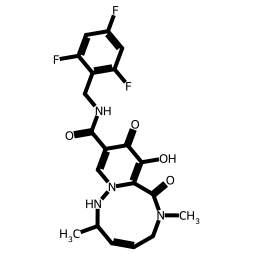 CC1/C=C\CN(C)C(=O)c2c(O)c(=O)c(C(=O)NCc3c(F)cc(F)cc3F)cn2N1